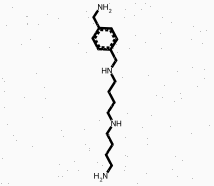 NCCCCNCCCCNCc1ccc(CN)cc1